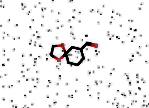 O=CC1CCCC2(C1)OCCO2